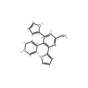 Nc1nc(-c2ccco2)c(C2=CCOC=C2)c(-c2ccco2)n1